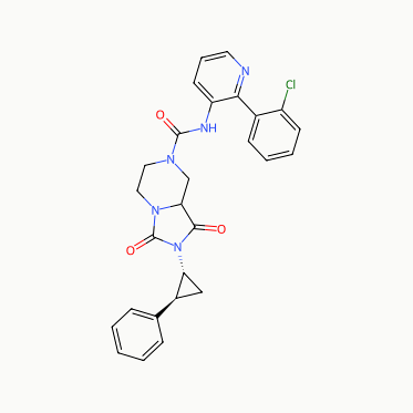 O=C(Nc1cccnc1-c1ccccc1Cl)N1CCN2C(=O)N([C@@H]3C[C@H]3c3ccccc3)C(=O)C2C1